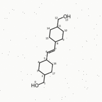 OCC1CCC(C=CC2CCC(CO)CC2)CC1